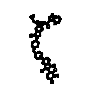 O=C1CCC(N2C(=O)c3ccc(N4CCC(CN5CCC(N6Cc7cc(NC(=O)c8cnn9cccnc89)c(OCC8CC8)cc7C6=O)CC5)CC4)cc3C2=O)C(=O)N1